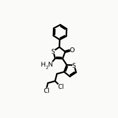 NC1=C(c2sccc2CC(Cl)CCl)C(=O)C(c2ccccc2)S1